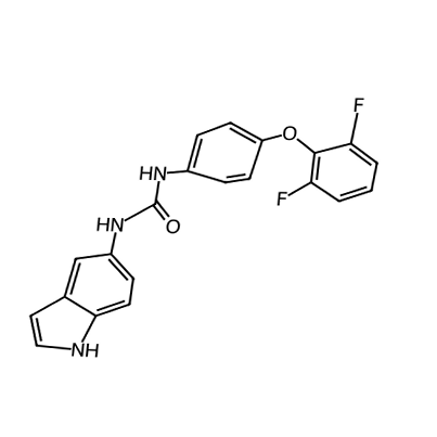 O=C(Nc1ccc(Oc2c(F)cccc2F)cc1)Nc1ccc2[nH]ccc2c1